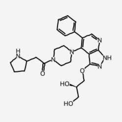 O=C(CC1CCCN1)N1CCN(c2c(-c3ccccc3)cnc3[nH]nc(OC[C@H](O)CO)c23)CC1